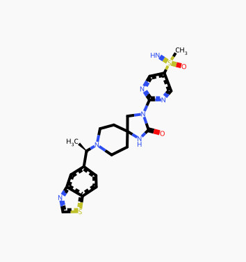 C[C@H](c1ccc2scnc2c1)N1CCC2(CC1)CN(c1ncc(S(C)(=N)=O)cn1)C(=O)N2